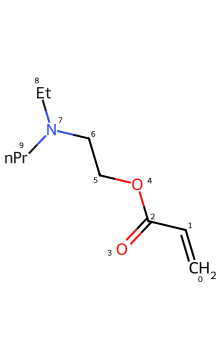 C=CC(=O)OCCN(CC)CCC